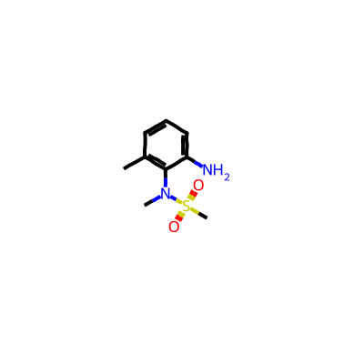 Cc1cccc(N)c1N(C)S(C)(=O)=O